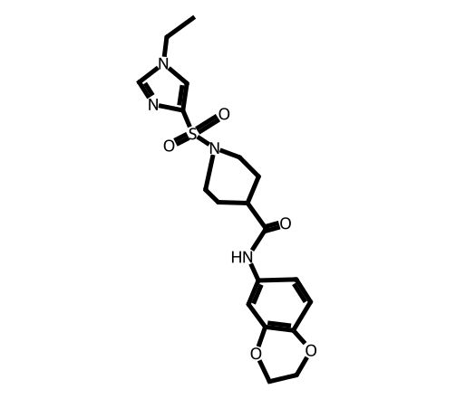 CCn1cnc(S(=O)(=O)N2CCC(C(=O)Nc3ccc4c(c3)OCCO4)CC2)c1